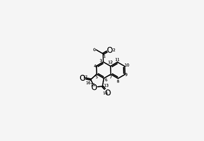 CC(=O)c1cc2c(c3ccccc13)C(=O)OC2=O